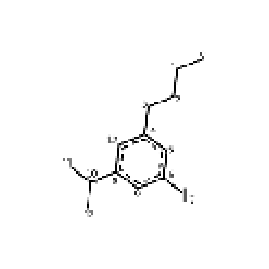 CCCCc1cc(I)cc([C](C)C)c1